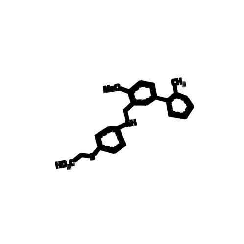 COc1ccc(-c2ccccc2C)cc1CNc1ccc(SCC(=O)O)cc1